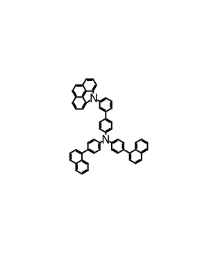 c1cc(-c2ccc(N(c3ccc(-c4cccc5ccccc45)cc3)c3ccc(-c4cccc5ccccc45)cc3)cc2)cc(-n2c3cccc4ccc5cccc2c5c43)c1